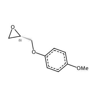 COc1ccc(OC[C@@H]2CO2)cc1